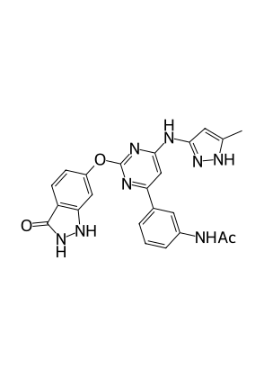 CC(=O)Nc1cccc(-c2cc(Nc3cc(C)[nH]n3)nc(Oc3ccc4c(=O)[nH][nH]c4c3)n2)c1